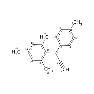 C#CC(c1ccc(C)cc1C)c1ccc(C)cc1C